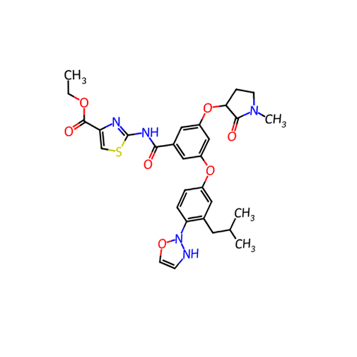 CCOC(=O)c1csc(NC(=O)c2cc(Oc3ccc(N4NC=CO4)c(CC(C)C)c3)cc(OC3CCN(C)C3=O)c2)n1